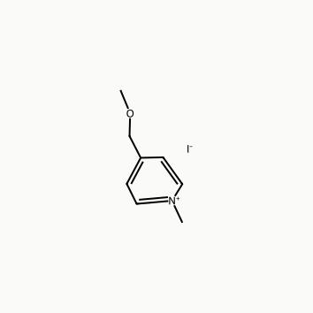 COCc1cc[n+](C)cc1.[I-]